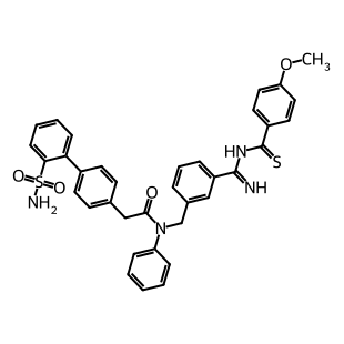 COc1ccc(C(=S)NC(=N)c2cccc(CN(C(=O)Cc3ccc(-c4ccccc4S(N)(=O)=O)cc3)c3ccccc3)c2)cc1